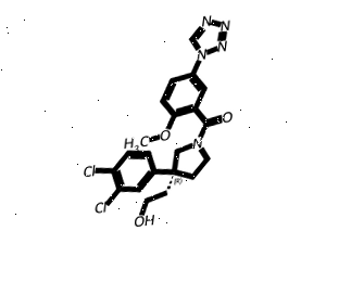 COc1ccc(-n2cnnn2)cc1C(=O)N1CC[C@@](CCO)(c2ccc(Cl)c(Cl)c2)C1